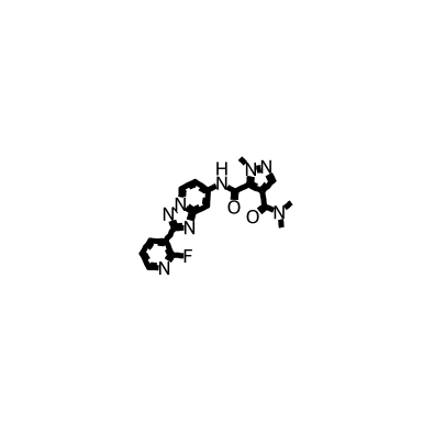 CN(C)C(=O)c1cnn(C)c1C(=O)Nc1ccn2nc(-c3cccnc3F)nc2c1